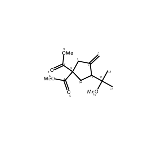 C=C1CC(C(=O)OC)(C(=O)OC)CC1C(C)(C)OC